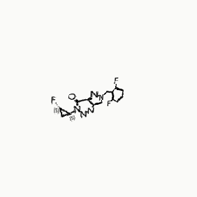 O=c1c2nn(Cc3c(F)cccc3F)cc2nnn1[C@H]1C[C@@H]1F